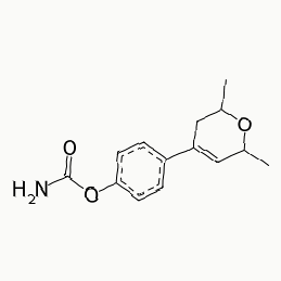 CC1C=C(c2ccc(OC(N)=O)cc2)CC(C)O1